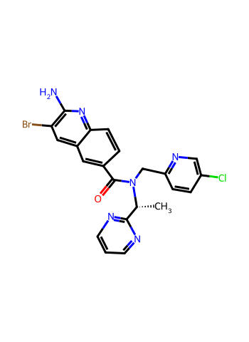 C[C@H](c1ncccn1)N(Cc1ccc(Cl)cn1)C(=O)c1ccc2nc(N)c(Br)cc2c1